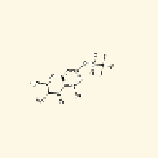 CN(C(N)=O)C(=O)c1ncc(OS(=O)(=O)C(F)(F)F)cc1O